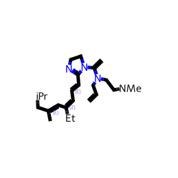 C=CCN(CCNC)C(=C)N1CCN=C1/C=C/C=C(\C=C(/C)CC(C)C)CC